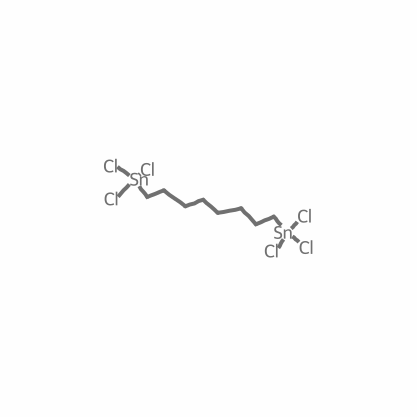 [Cl][Sn]([Cl])([Cl])[CH2]CCCCCC[CH2][Sn]([Cl])([Cl])[Cl]